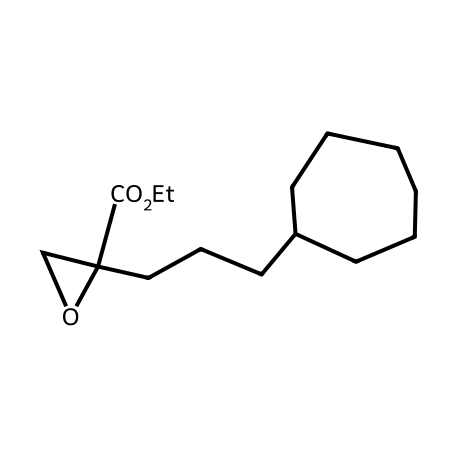 CCOC(=O)C1(CCCC2CCCCCC2)CO1